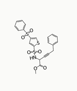 COC(=O)C(C#CCc1ccccc1)NS(=O)(=O)c1cc(S(=O)(=O)c2ccccc2)cs1